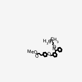 COC(=O)CCc1ccc(OCc2cccc(C(=NOCCN(C)C)c3ccccc3)c2)cc1